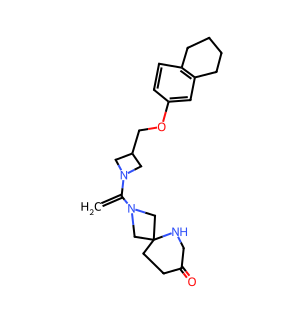 C=C(N1CC(COc2ccc3c(c2)CCCC3)C1)N1CC2(CCC(=O)CN2)C1